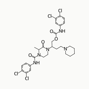 CC1C(=O)N(C(CCN2CCCCC2)COC(=O)Nc2ccc(Cl)c(Cl)c2)CCN1C(=O)Nc1ccc(Cl)c(Cl)c1